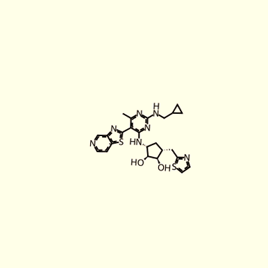 Cc1nc(NCC2CC2)nc(N[C@@H]2C[C@H](Cc3nccs3)[C@@H](O)[C@H]2O)c1-c1nc2cnccc2s1